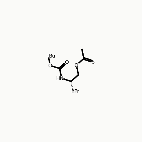 CCC[C@@H](COC(C)=S)NC(=O)OC(C)(C)C